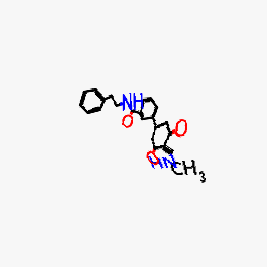 CNC=C1C(=O)CC(c2cccc(C(=O)NCCc3ccccc3)c2)CC1=O